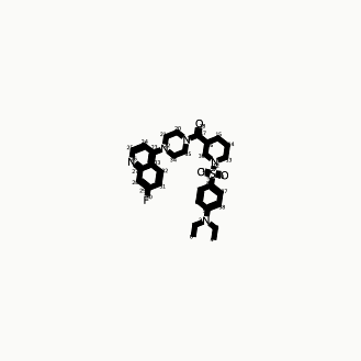 CCN(CC)c1ccc(S(=O)(=O)N2CCCC(C(=O)N3CCN(c4ccnc5cc(F)ccc45)CC3)C2)cc1